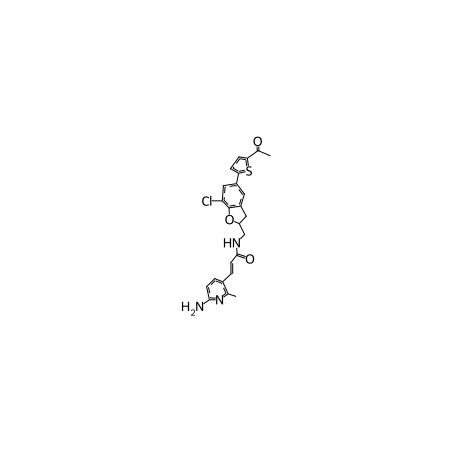 CC(=O)c1ccc(-c2cc(Cl)c3c(c2)CC(CNC(=O)C=Cc2ccc(N)nc2C)O3)s1